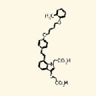 Cc1ccccc1OCCCCOc1ccc(/C=C/c2cccc3c(SCC(=O)O)cn(CC(=O)O)c23)cc1